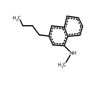 CCCCc1cc(NC)c2ccccc2c1